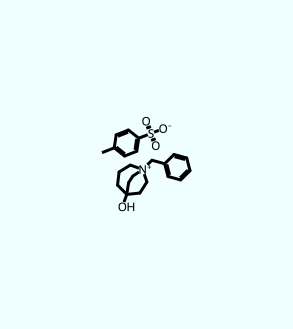 Cc1ccc(S(=O)(=O)[O-])cc1.OC12CCC[N+](Cc3ccccc3)(CC1)CC2